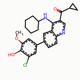 COc1cc(-c2ccc3ncc(C(=O)C4CC4)c(NC4CCCCC4)c3c2)cc(Cl)c1O